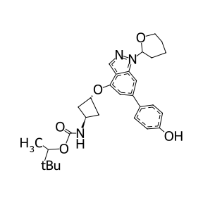 CC(OC(=O)N[C@H]1C[C@H](Oc2cc(-c3ccc(O)cc3)cc3c2cnn3C2CCCCO2)C1)C(C)(C)C